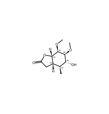 CO[C@H]1[C@@H](OC)[C@H](O)[C@@H](C)[C@@H]2CC(=O)O[C@@H]21